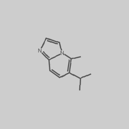 Cc1c(C(C)C)ccc2nccn12